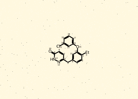 CCc1ccc(Cc2ccc(=O)[nH]n2)cc1Oc1cccc(Cl)c1